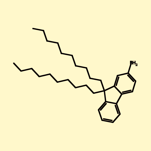 Bc1ccc2c(c1)C(CCCCCCCCCC)(CCCCCCCCCC)c1ccccc1-2